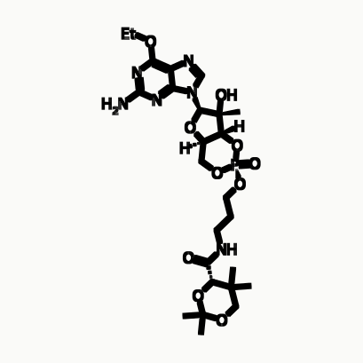 CCOc1nc(N)nc2c1ncn2[C@@H]1O[C@@H]2CO[P@](=O)(OCCCNC(=O)[C@H]3OC(C)(C)OCC3(C)C)O[C@H]2[C@@]1(C)O